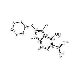 Cc1c(CN2CCOCC2)sc2ncc(C(=O)O)c(O)c12